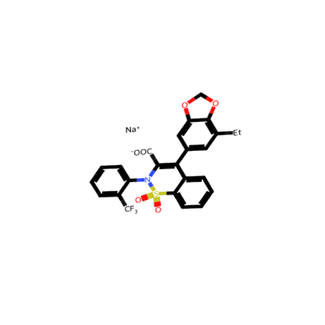 CCc1cc(C2=C(C(=O)[O-])N(c3ccccc3C(F)(F)F)S(=O)(=O)c3ccccc32)cc2c1OCO2.[Na+]